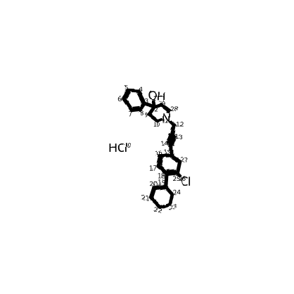 Cl.OC1(c2ccccc2)CCN(CC#Cc2ccc(C3CCCCC3)c(Cl)c2)CC1